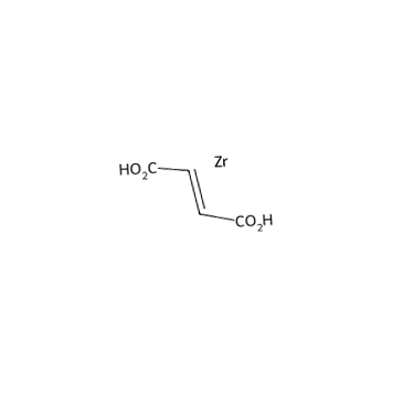 O=C(O)C=CC(=O)O.[Zr]